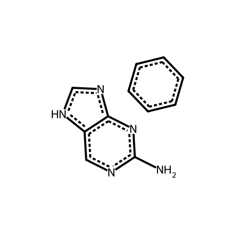 Nc1ncc2[nH]cnc2n1.c1ccccc1